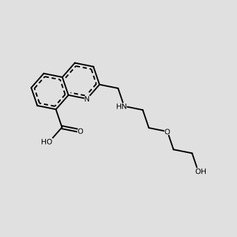 O=C(O)c1cccc2ccc(CNCCOCCO)nc12